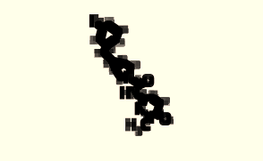 Cn1nc(NC(=O)N2CC3C(Cc4cccc(F)c4)C3C2)ccc1=O